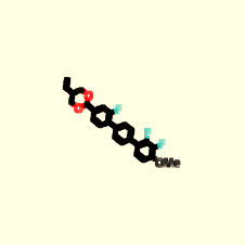 C=CC1COC(c2ccc(-c3ccc(-c4ccc(OC)c(F)c4F)cc3)c(F)c2)OC1